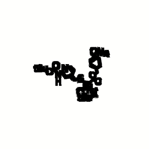 COc1ccc(COC(=O)[C@@H]2[C@@H](SCc3ccnc(NC(=O)OC(C)(C)C)c3)C(=O)N2[Si](C)(C)C(C)(C)C)cc1